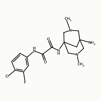 CN1CC2(N)CN(C)CC(NC(=O)C(=O)Nc3ccc(Cl)c(F)c3)(C1)C2